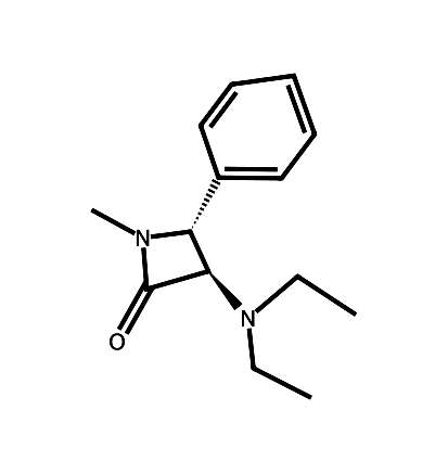 CCN(CC)[C@H]1C(=O)N(C)[C@@H]1c1ccccc1